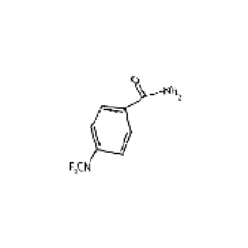 NC(=O)c1ccc(NC(F)(F)F)cc1